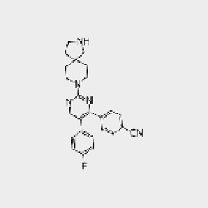 N#Cc1ccc(-c2nc(N3CCC4(CCNC4)CC3)ncc2-c2ccc(F)cc2)cc1